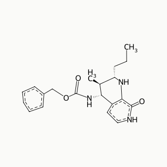 CCC[C@@H]1Nc2c(cc[nH]c2=O)[C@H](NC(=O)OCc2ccccc2)[C@H]1C